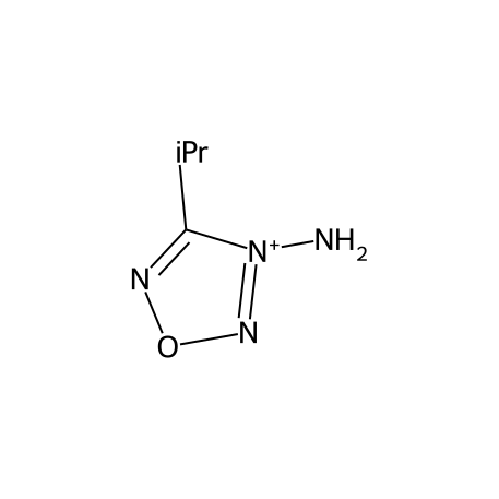 CC(C)c1non[n+]1N